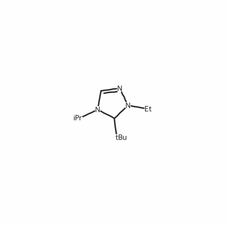 CCN1N=CN(C(C)C)C1C(C)(C)C